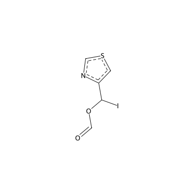 O=COC(I)c1cscn1